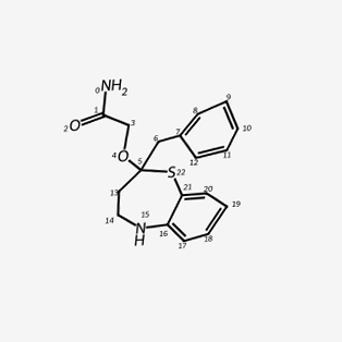 NC(=O)COC1(Cc2ccccc2)CCNc2ccccc2S1